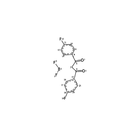 F[B]F.O=C(CC(=O)c1ccc(F)cc1)c1ccc(F)cc1